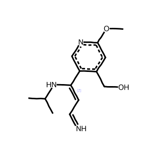 COc1cc(CO)c(/C(=C/C=N)NC(C)C)cn1